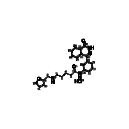 Cl.O=C(CCCCNCc1ccco1)Nc1cccc(-c2n[nH]c(=O)c3ccccc23)c1